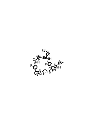 CN(Cc1cc(-c2ccc(CNC(=O)c3cc(C(C)(C)C)no3)c(F)c2)c2nc(-c3cnn(C)c3)[nH]c2n1)C(=O)N1CC=C(c2nc3c(-c4ccc(CNC(=O)c5noc(C(C)(C)C)n5)c(F)c4)ccnc3[nH]2)CC1